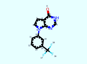 O=c1[nH]cnc2c1ccn2-c1cccc(C(F)(F)F)c1